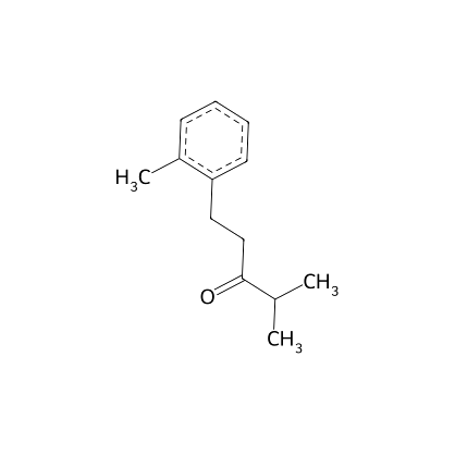 Cc1ccccc1CCC(=O)C(C)C